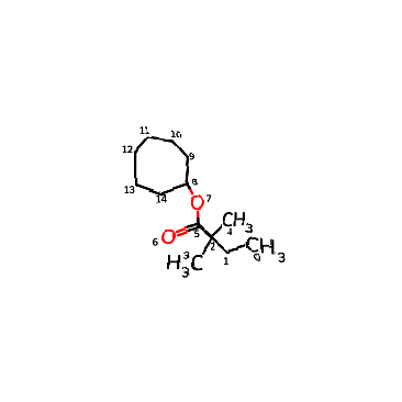 CCC(C)(C)C(=O)OC1CCCCCC1